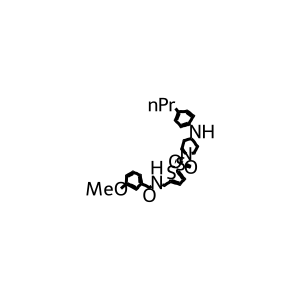 CCCc1ccc(NC2CCN(S(=O)(=O)c3ccc(CNC(=O)c4cccc(OC)c4)s3)CC2)cc1